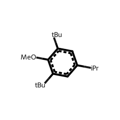 COc1c(C(C)(C)C)cc(C(C)C)cc1C(C)(C)C